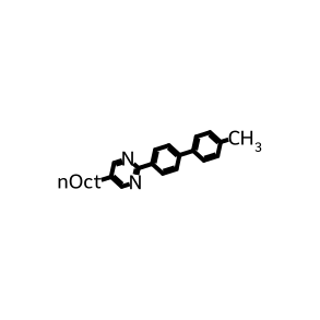 CCCCCCCCc1cnc(-c2ccc(-c3ccc(C)cc3)cc2)nc1